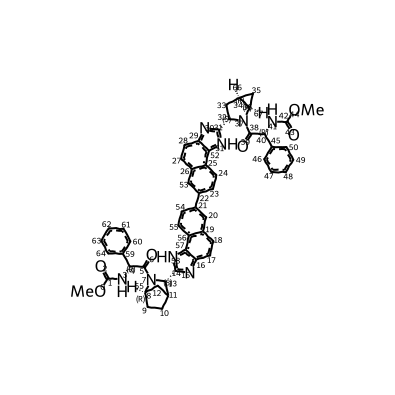 COC(=O)N[C@@H](C(=O)N1[C@@H]2CCC(C2)[C@H]1c1nc2ccc3cc(-c4ccc5c(ccc6nc([C@@H]7C[C@H]8C[C@H]8N7C(=O)[C@H](NC(=O)OC)c7ccccc7)[nH]c65)c4)ccc3c2[nH]1)c1ccccc1